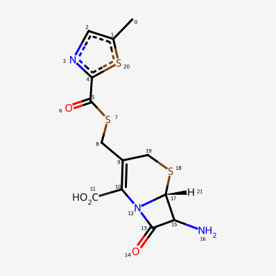 Cc1cnc(C(=O)SCC2=C(C(=O)O)N3C(=O)C(N)[C@H]3SC2)s1